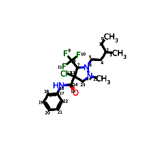 CCC(C)CCN1C(C(F)(F)F)C(Cl)(C(=O)Nc2ccccc2)CN1C